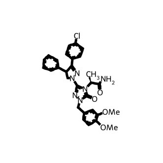 COc1ccc(Cn2nc(N3CC(c4ccccc4)C(c4ccc(Cl)cc4)=N3)n([C@@H](C)C(N)=O)c2=O)cc1OC